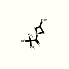 CC(C)(O)C(=O)N1CC([C]=O)C1